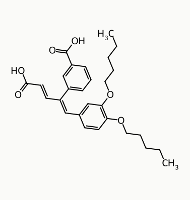 CCCCCOc1ccc(/C=C(/C=C/C(=O)O)c2cccc(C(=O)O)c2)cc1OCCCCC